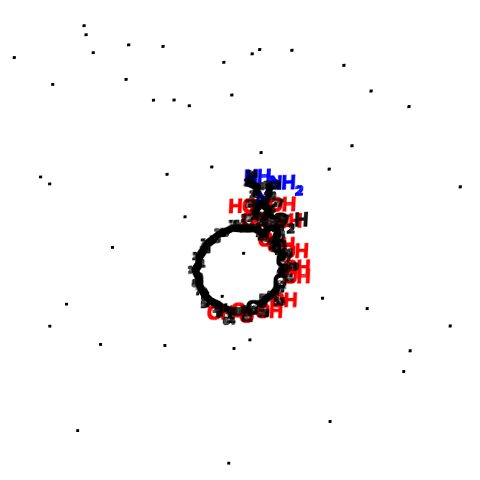 C[C@@H]1[C@H](O)[C@@H](C)/C=C/C=C/C=C/C=C/C=C/C=C/C=C/[C@H](O[C@@H]2O[C@H](C)[C@@H](O)[C@H](N(CCN)CCCN)[C@@H]2O)CC2O[C@](O)(C[C@@H](O)C[C@@H](O)[C@H](O)CC[C@@H](O)C[C@@H](O)CC(=O)O[C@H]1C)C[C@H](O)[C@H]2C(=O)O